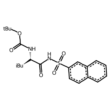 CC[C@H](C)[C@H](NC(=O)OC(C)(C)C)C(=O)NS(=O)(=O)c1ccc2ccccc2c1